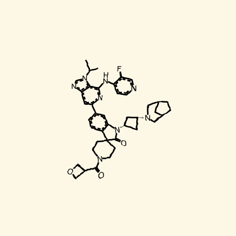 CC(C)n1cnc2cc(-c3ccc4c(c3)N([C@H]3C[C@@H](N5CC6CCC(C6)C5)C3)C(=O)C43CCN(C(=O)C4COC4)CC3)nc(Nc3ccncc3F)c21